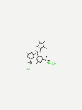 CC1=C(C)C(C)[C]([Ti][Si](C)(c2cc(C)cc([Si](C)(C)C)c2)c2cc(C)cc([Si](C)(C)C)c2)=C1C.Cl.Cl.Cl